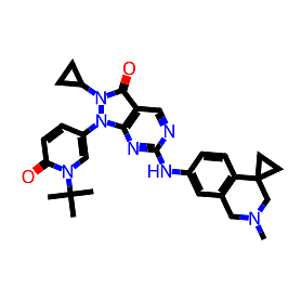 CN1Cc2cc(Nc3ncc4c(=O)n(C5CC5)n(-c5ccc(=O)n(C(C)(C)C)c5)c4n3)ccc2C2(CC2)C1